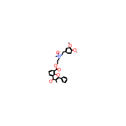 COc1ccc(CC[N+](C)([O-])CCCOC(=O)c2cccc3c(=O)c(C)c(-c4ccccc4)oc23)cc1OC